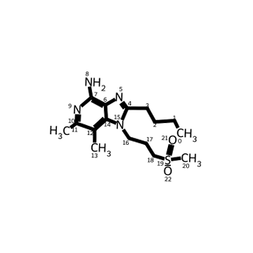 CCCCc1nc2c(N)nc(C)c(C)c2n1CCCS(C)(=O)=O